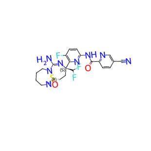 N#Cc1ccc(C(=O)Nc2ccc(F)c([C@]3(C(F)F)CC[S@]4(=O)=NCCCCN4C(N)=N3)n2)nc1